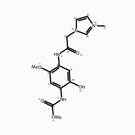 COC(=O)Nc1cc(OC)c(NC(=O)Cn2cc[n+](C)c2)cc1O